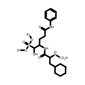 CCOP(=O)(OCC)C(O)C(CCC(=O)Nc1ccccc1)NC(=O)C(CC1CCCCC1)NC(=O)O